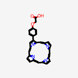 O=C(O)COc1ccc(C2=CC3=CC4=NC(=CC5=NC(=CC6=NC(=CC2=N3)C=C6)C=C5)C=C4)cc1